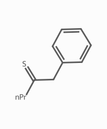 CCCC(=S)Cc1ccccc1